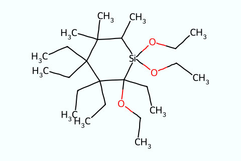 CCOC1(CC)C(CC)(CC)C(CC)(CC)C(C)(C)C(C)[Si]1(OCC)OCC